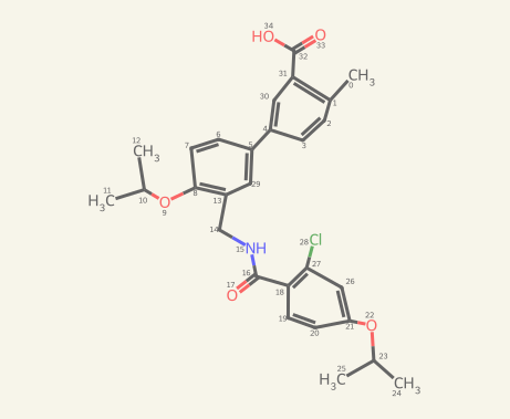 Cc1ccc(-c2ccc(OC(C)C)c(CNC(=O)c3ccc(OC(C)C)cc3Cl)c2)cc1C(=O)O